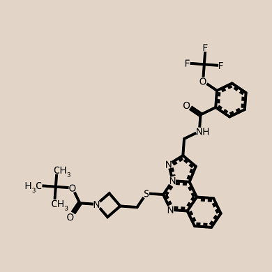 CC(C)(C)OC(=O)N1CC(CSc2nc3ccccc3c3cc(CNC(=O)c4ccccc4OC(F)(F)F)nn23)C1